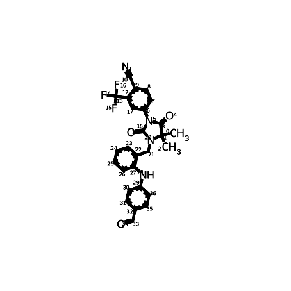 CC1(C)C(=O)N(c2ccc(C#N)c(C(F)(F)F)c2)C(=O)N1Cc1ccccc1Nc1ccc(C=O)cc1